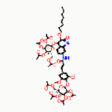 CCCCCCCCOc1c(O[C@H]2O[C@H](COC(C)=O)[C@@H](OC(C)=O)[C@H](OC(C)=O)[C@@H]2OC(C)=O)c2ccc(NC(=O)C=Cc3cc(OC)c(O[C@H]4O[C@H](COC(C)=O)[C@@H](OC(C)=O)[C@H](OC(C)=O)[C@@H]4OC(C)=O)c(OC)c3)cc2n(C)c1=O